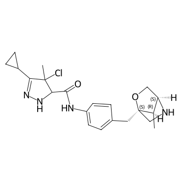 C[C@@H]1[C@H]2CO[C@]1(Cc1ccc(NC(=O)C3NN=C(C4CC4)C3(C)Cl)cc1)CN2